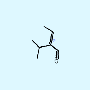 C/C=C(/C=O)C(C)C